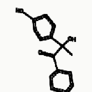 CC(O)(C(=O)c1ccccc1)c1ccc(O)cc1